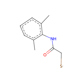 Cc1cccc(C)c1NC(=O)C[S]